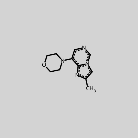 Cc1cn2cncc(N3CCOCC3)c2n1